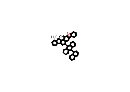 CC1(C)c2ccccc2-c2cc(-c3c4c(c(-c5cccc6ccccc56)c5ccccc35)=CCCC=4)c3cc4c(cc3c21)oc1ccccc14